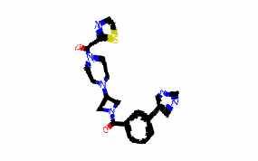 O=C(c1cccc(-c2cncnc2)c1)N1CC(N2CCN(C(=O)c3nccs3)CC2)C1